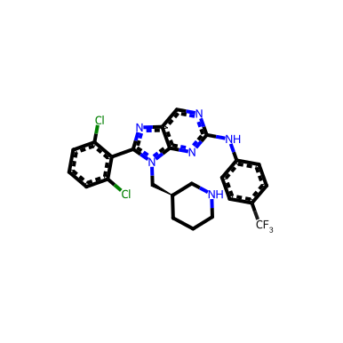 FC(F)(F)c1ccc(Nc2ncc3nc(-c4c(Cl)cccc4Cl)n(C[C@@H]4CCCNC4)c3n2)cc1